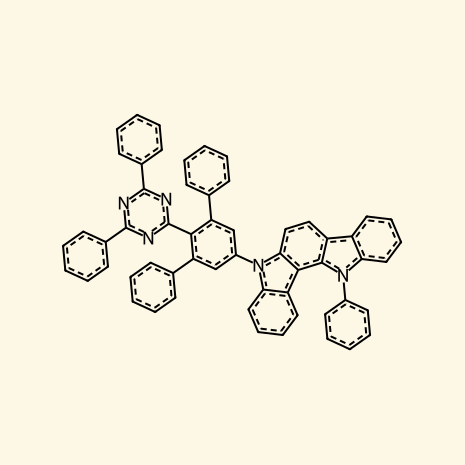 c1ccc(-c2nc(-c3ccccc3)nc(-c3c(-c4ccccc4)cc(-n4c5ccccc5c5c4ccc4c6ccccc6n(-c6ccccc6)c45)cc3-c3ccccc3)n2)cc1